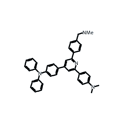 CNCc1ccc(-c2cc(-c3ccc(N(c4ccccc4)c4ccccc4)cc3)cc(-c3ccc(N(C)C)cc3)n2)cc1